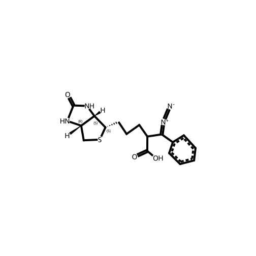 [N-]=[N+]=C(c1ccccc1)C(CCC[C@@H]1SC[C@@H]2NC(=O)N[C@@H]21)C(=O)O